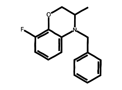 CC1COc2c(F)cccc2N1Cc1ccccc1